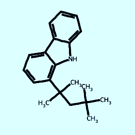 CC(C)(C)CC(C)(C)c1cccc2c1[nH]c1ccccc12